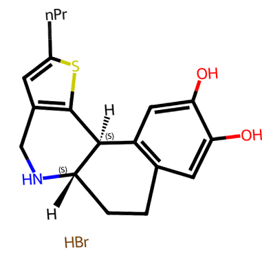 Br.CCCc1cc2c(s1)[C@H]1c3cc(O)c(O)cc3CC[C@@H]1NC2